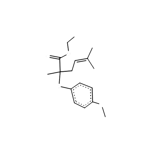 CCOC(=O)C(C)(CC=C(C)C)Sc1ccc(OC)cc1